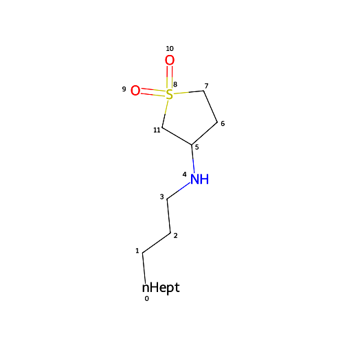 CCCCCCCCCCNC1CCS(=O)(=O)C1